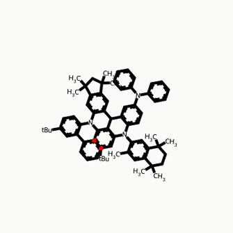 Cc1cc2c(cc1N1c3ccc(N(c4ccccc4)c4ccccc4)cc3C3c4cc5c(cc4N(c4ccc(C(C)(C)C)cc4-c4ccccc4)c4cc(C(C)(C)C)cc1c43)C(C)(C)CC5(C)C)C(C)(C)CCC2(C)C